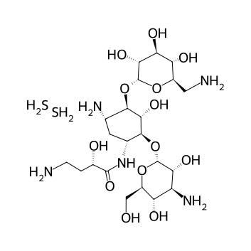 NCC[C@H](O)C(=O)N[C@@H]1C[C@H](N)[C@@H](O[C@H]2O[C@H](CN)[C@@H](O)[C@H](O)[C@H]2O)[C@H](O)[C@H]1O[C@H]1O[C@H](CO)[C@@H](O)[C@H](N)[C@H]1O.S.S